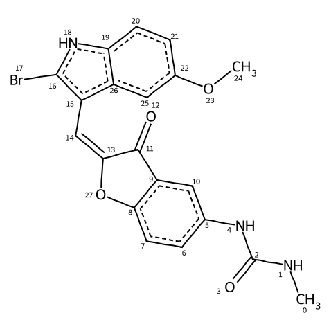 CNC(=O)Nc1ccc2c(c1)C(=O)C(=Cc1c(Br)[nH]c3ccc(OC)cc13)O2